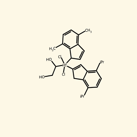 Cc1ccc(C)c2c1C=C[CH]2[Hf]([Cl])([Cl])([C]1=Cc2c(C(C)C)ccc(C(C)C)c2C1)[CH](O)CO